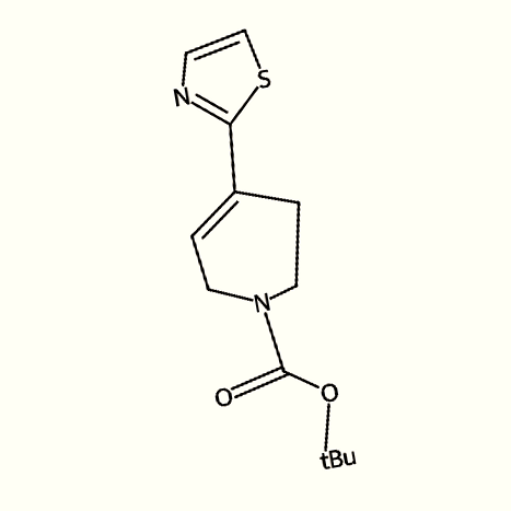 CC(C)(C)OC(=O)N1CC=C(c2nccs2)CC1